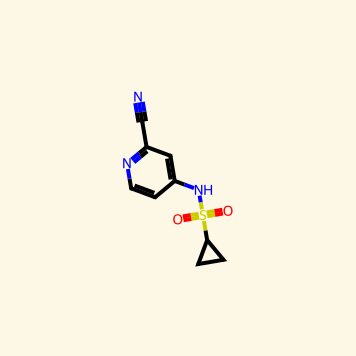 N#Cc1cc(NS(=O)(=O)C2CC2)ccn1